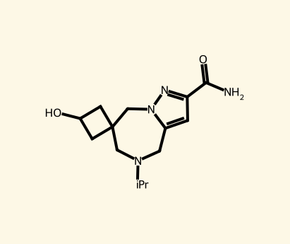 CC(C)N1Cc2cc(C(N)=O)nn2CC2(CC(O)C2)C1